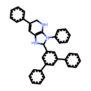 C1=C(c2ccccc2)CNC2=C1NC(c1cc(-c3ccccc3)cc(-c3ccccc3)c1)N2c1ccccc1